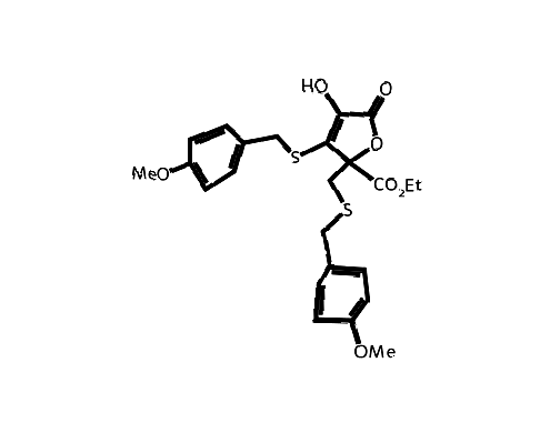 CCOC(=O)C1(CSCc2ccc(OC)cc2)OC(=O)C(O)=C1SCc1ccc(OC)cc1